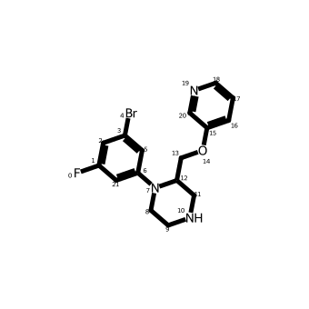 Fc1cc(Br)cc(N2CCNCC2COc2cccnc2)c1